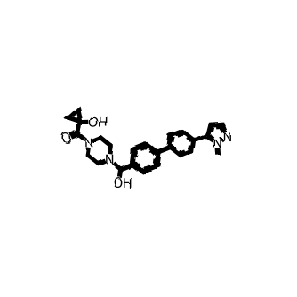 Cn1nccc1-c1ccc(-c2ccc(C(O)N3CCN(C(=O)C4(O)CC4)CC3)cc2)cc1